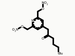 CC(C)(C)CCCC(=O)Cc1cc(CO[N+](=O)[O-])nc(CO[N+](=O)[O-])c1